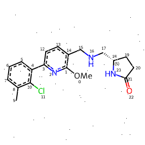 COc1nc(-c2cccc(C)c2Cl)ccc1CNC[C@@H]1CCC(=O)N1